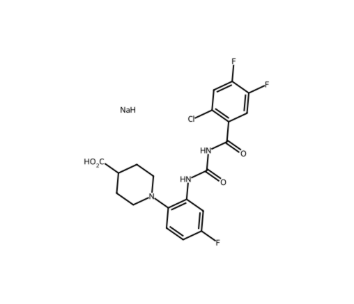 O=C(NC(=O)c1cc(F)c(F)cc1Cl)Nc1cc(F)ccc1N1CCC(C(=O)O)CC1.[NaH]